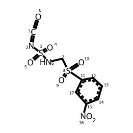 O=C=NS(=O)(=O)NCS(=O)(=O)c1cccc([N+](=O)[O-])c1